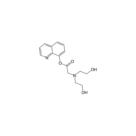 O=C(CN(CCO)CCO)Oc1cccc2cccnc12